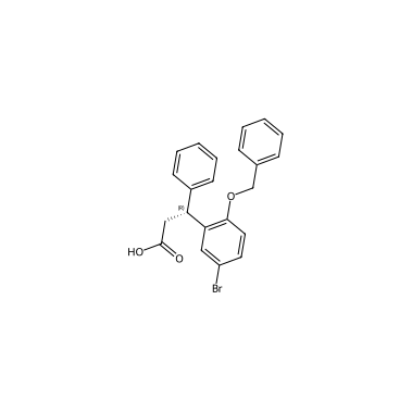 O=C(O)C[C@H](c1ccccc1)c1cc(Br)ccc1OCc1ccccc1